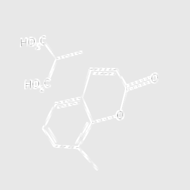 CC(C(=O)O)C(=O)O.Cc1cccc2ccc(=O)oc12